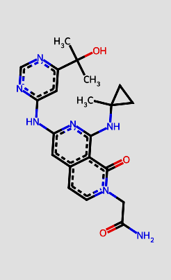 CC1(Nc2nc(Nc3cc(C(C)(C)O)ncn3)cc3ccn(CC(N)=O)c(=O)c23)CC1